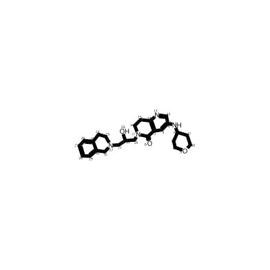 O=C1c2cc(NC3CCOCC3)cnc2CCN1CC(O)CN1CCc2ccccc2C1